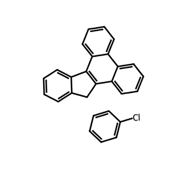 Clc1ccccc1.c1ccc2c(c1)Cc1c-2c2ccccc2c2ccccc12